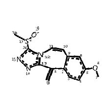 C=C1c2ccc(OC)cc2C=Cn2c1nnc2[S+](C)[O-]